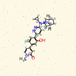 Cn1ccc(-c2cc(O)c(-c3ccc(N(C4CC4)C4C[C@H]5CC[C@H](N5)C4F)nn3)cc2F)cc1=O